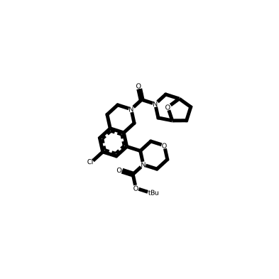 CC(C)(C)OC(=O)N1CCOCC1c1cc(Cl)cc2c1CN(C(=O)N1CC3CCC(C1)O3)CC2